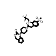 CS(=O)(=O)c1ccc(CC(=O)N2CCC(N3C(=O)OCc4ccccc43)CC2)c(OCC(F)(F)F)c1